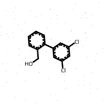 OCc1ccccc1-c1cc(Cl)cc(Cl)c1